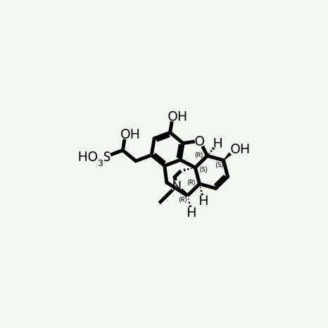 CN1CC[C@]23c4c5c(CC(O)S(=O)(=O)O)cc(O)c4O[C@H]2[C@@H](O)C=C[C@H]3[C@H]1C5